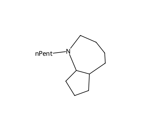 CCCCCN1CCCCC2CCCC21